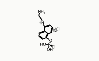 Cl.Cl.NCCNc1cccc2c(OP(=O)(O)O)cccc12